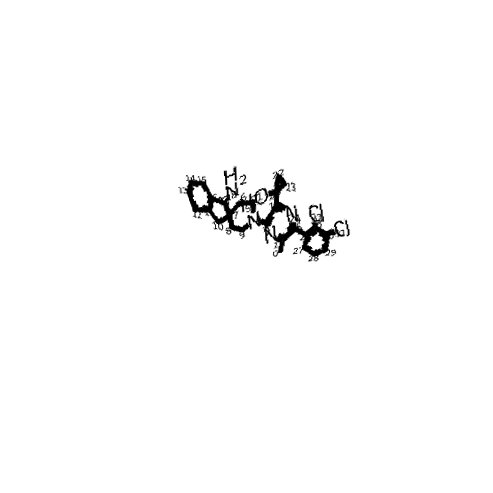 Cc1nc(N2CCC3(CC2)Cc2ccccc2[C@H]3N)c(C2(O)CC2)nc1-c1cccc(Cl)c1Cl